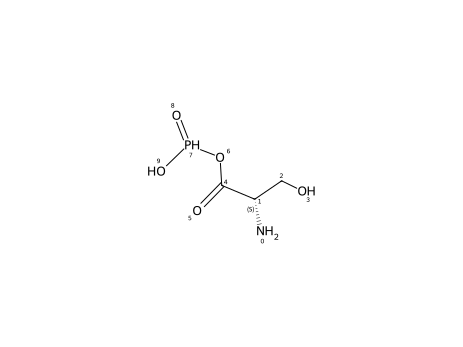 N[C@@H](CO)C(=O)O[PH](=O)O